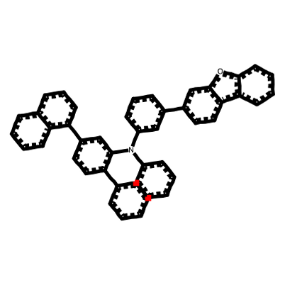 c1ccc(-c2ccc(-c3cccc4ccccc34)cc2N(c2ccccc2)c2cccc(-c3ccc4c(c3)oc3ccccc34)c2)cc1